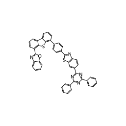 c1ccc(-c2nc(-c3ccccc3)nc(-c3ccc4nc(-c5ccc(-c6cccc7c6sc6c(-c8nc9ccccc9o8)cccc67)cc5)sc4c3)n2)cc1